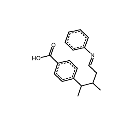 CC(CC=Nc1ccccc1)C(C)c1ccc(C(=O)O)cc1